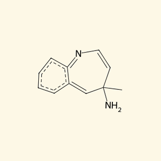 CC1(N)C=CN=c2ccccc2=C1